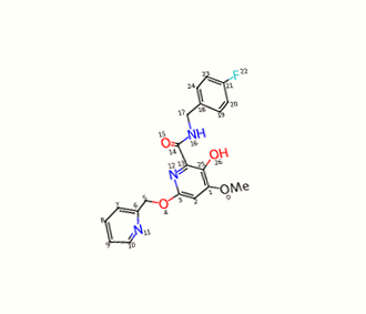 COc1cc(OCc2ccccn2)nc(C(=O)NCc2ccc(F)cc2)c1O